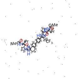 COC(=O)N[C@H](C(=O)C1CCCN1c1nc2c([nH]1)CCCc1cc(-c3ccc(-c4[nH]c([C@@H]5CCCN5C(=O)[C@@H](NC(=O)OC)C(C)C)nc4CCC(F)(F)F)cc3)ccc1-2)C(C)C